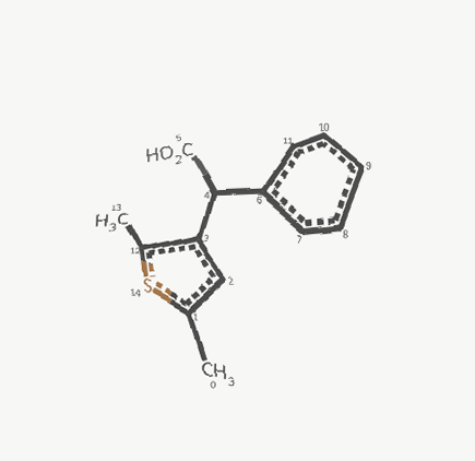 Cc1cc(C(C(=O)O)c2ccccc2)c(C)s1